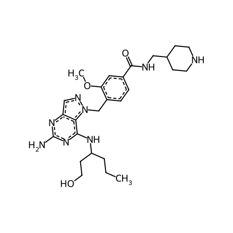 CCCC(CCO)Nc1nc(N)nc2cnn(Cc3ccc(C(=O)NCC4CCNCC4)cc3OC)c12